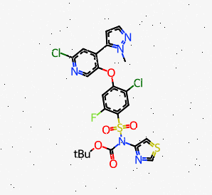 Cn1nccc1-c1cc(Cl)ncc1Oc1cc(F)c(S(=O)(=O)N(C(=O)OC(C)(C)C)c2cscn2)cc1Cl